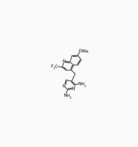 COc1ccc2c(Cc3cnc(N)nc3N)cc(C(F)(F)F)nc2c1